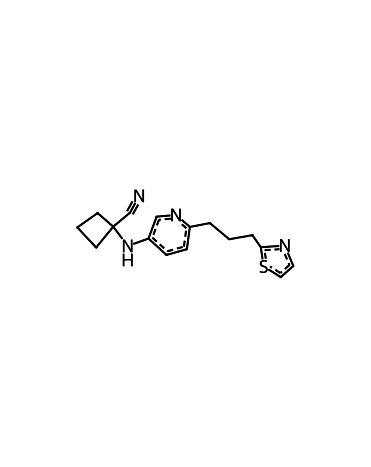 N#CC1(Nc2ccc(CCCc3nccs3)nc2)CCC1